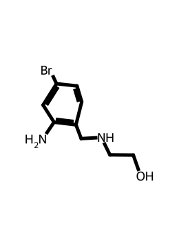 Nc1cc(Br)ccc1CNCCO